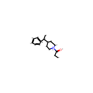 CCC(=O)N1CCC(C(C)c2ccccc2)CC1